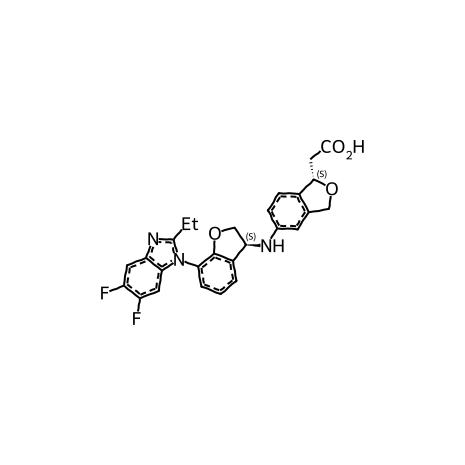 CCc1nc2cc(F)c(F)cc2n1-c1cccc2c1OC[C@H]2Nc1ccc2c(c1)CO[C@H]2CC(=O)O